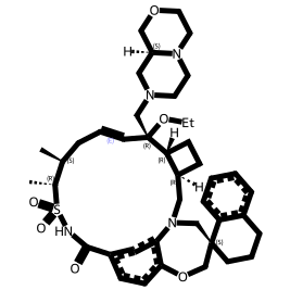 CCO[C@@]1(CN2CCN3CCOC[C@@H]3C2)/C=C/C[C@H](C)[C@@H](C)S(=O)(=O)NC(=O)c2ccc3c(c2)N(C[C@@H]2CC[C@H]21)C[C@@]1(CCCc2ccccc21)CO3